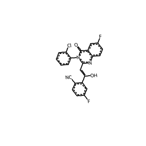 N#Cc1ccc(F)cc1C(O)=Cc1nc2ccc(F)cc2c(=O)n1-c1ccccc1Cl